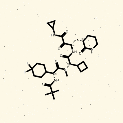 CN(C(=O)[C@H](NC(=O)C(C)(C)C)C1CCC(F)(F)CC1)[C@H](C(=O)N[C@@H](C[C@@H]1CCCNC1=O)C(=O)C(=O)NC1CC1)C1CCC1